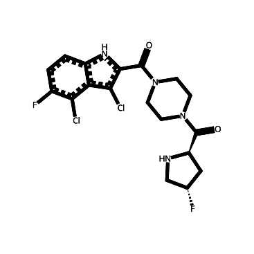 O=C(c1[nH]c2ccc(F)c(Cl)c2c1Cl)N1CCN(C(=O)[C@H]2C[C@H](F)CN2)CC1